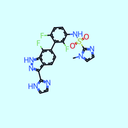 Cn1ccnc1S(=O)(=O)Nc1ccc(F)c(-c2ccc3c(-c4ncc[nH]4)n[nH]c3c2F)c1F